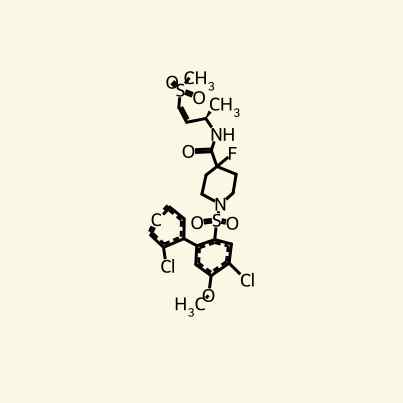 COc1cc(-c2ccccc2Cl)c(S(=O)(=O)N2CCC(F)(C(=O)N[C@H](C)/C=C\S(C)(=O)=O)CC2)cc1Cl